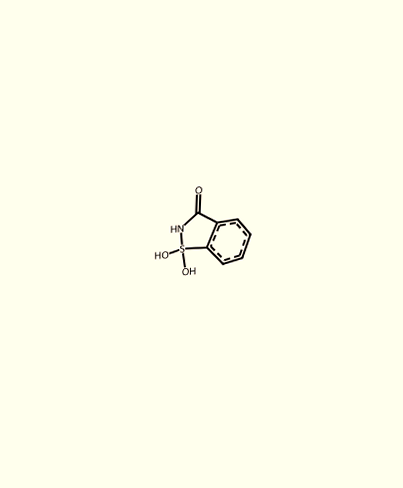 O=C1NS(O)(O)c2ccccc21